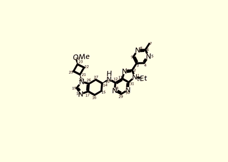 CCn1c(-c2cnc(C)nc2)nc2c(N[C@H]3CCc4ncn([C@H]5C[C@H](OC)C5)c4C3)ncnc21